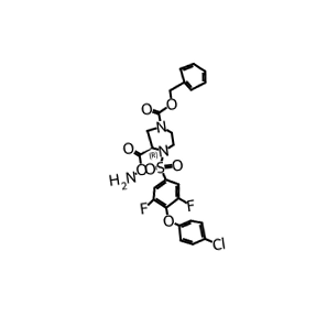 NOC(=O)[C@H]1CN(C(=O)OCc2ccccc2)CCN1S(=O)(=O)c1cc(F)c(Oc2ccc(Cl)cc2)c(F)c1